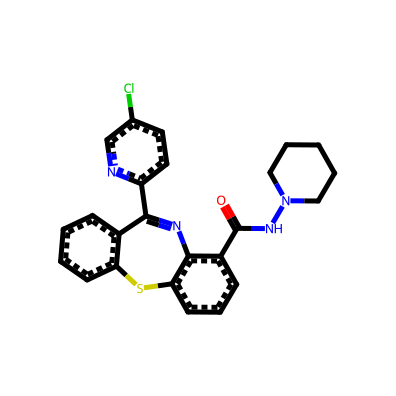 O=C(NN1CCCCC1)c1cccc2c1N=C(c1ccc(Cl)cn1)c1ccccc1S2